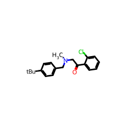 CN(CC(=O)c1ccccc1Cl)Cc1ccc(C(C)(C)C)cc1